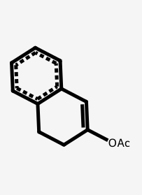 CC(=O)OC1=Cc2ccccc2CC1